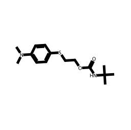 CN(C)c1ccc(SCCOC(=O)NC(C)(C)C)cc1